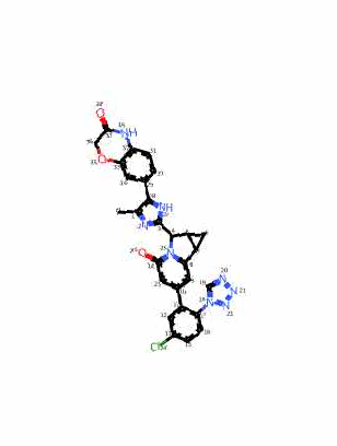 Cc1nc(C2C3CC3c3cc(-c4cc(Cl)ccc4-n4cnnn4)cc(=O)n32)[nH]c1-c1ccc2c(c1)OCC(=O)N2